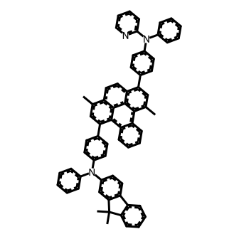 Cc1cc(-c2ccc(N(c3ccccc3)c3ccc4c(c3)C(C)(C)c3ccccc3-4)cc2)c2c3ccccc3c3c(C)cc(-c4ccc(N(c5ccccc5)c5ccccn5)cc4)c4ccc1c2c43